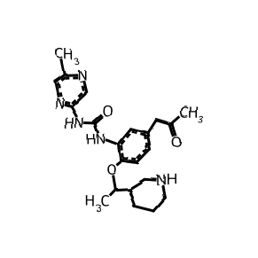 CC(=O)Cc1ccc(OC(C)C2CCCNC2)c(NC(=O)Nc2cnc(C)cn2)c1